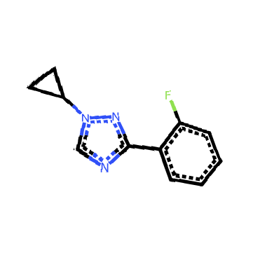 Fc1ccccc1-c1n[c]n(C2CC2)n1